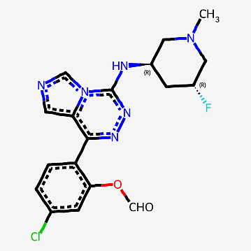 CN1C[C@H](F)C[C@@H](Nc2nnc(-c3ccc(Cl)cc3OC=O)c3cncn23)C1